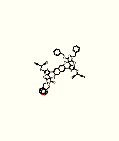 N#CC(C#N)=Nc1nc2c(s1)C1=CC3C=C4OC(C(=O)OCc5ccccc5)(C(=O)OCc5ccccc5)c5nc(N=C(C#N)C#N)sc5C4=CC3C=C1OC2(C(=O)OCc1ccccc1)C(=O)OCc1ccccc1